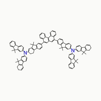 CC1(C)C2=C(CCC(N(c3ccc4c(c3)C(C)(C)C3=C4C=CCC3)c3ccc4c(c3)C(C)(C)c3ccccc3-4)=C2)c2ccc(-c3cc4cc(-c5ccc6c(c5)C(C)(C)c5cc(N(c7ccc8c(c7)C(C)(C)C7=C8C=CCC7)c7ccc8c(c7)C(C)(C)c7ccccc7-8)ccc5-6)c5ccccc5c4c4ccccc34)cc21